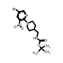 CC(C)(C)OC(=O)NCC1CCN(c2ncc(Br)cc2[N+](=O)[O-])CC1